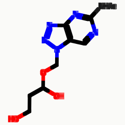 CC(=O)Nc1ncc2c(nnn2COC(O)CCO)n1